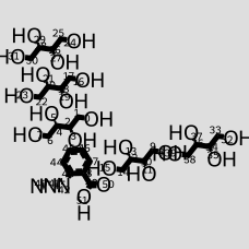 OC[C@@H](O)[C@@H](O)CO.OC[C@@H](O)[C@@H](O)CO.OC[C@@H](O)[C@@H](O)CO.OC[C@@H](O)[C@@H](O)CO.OC[C@@H](O)[C@@H](O)CO.[N-]=[N+]=Nc1ccccc1C(=O)O